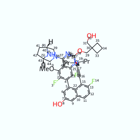 COc1c(F)c(-c2cc(O)cc3ccc(F)c(C#C[Si](C(C)C)(C(C)C)C(C)C)c23)c(F)c2nc(OCC3(CO)CCC3)nc(N3C[C@H]4CC[C@@H](C3)N4)c12